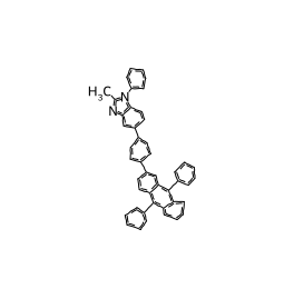 Cc1nc2cc(-c3ccc(-c4ccc5c(-c6ccccc6)c6ccccc6c(-c6ccccc6)c5c4)cc3)ccc2n1-c1ccccc1